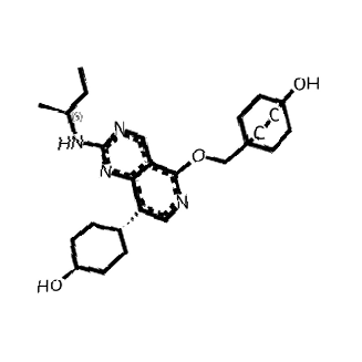 CC[C@H](C)Nc1ncc2c(OCC34CCC(O)(CC3)CC4)ncc([C@H]3CC[C@H](O)CC3)c2n1